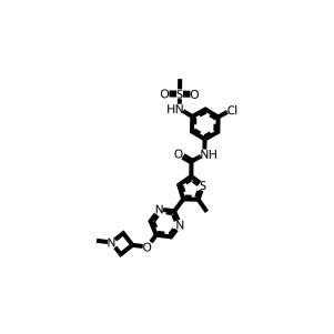 Cc1sc(C(=O)Nc2cc(Cl)cc(NS(C)(=O)=O)c2)cc1-c1ncc(OC2CN(C)C2)cn1